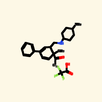 CNC1CCC(NCC2C=C(c3ccccc3)C=CC2(OC)C(=O)C(F)(F)F)CC1.O=C(O)C(F)(F)F